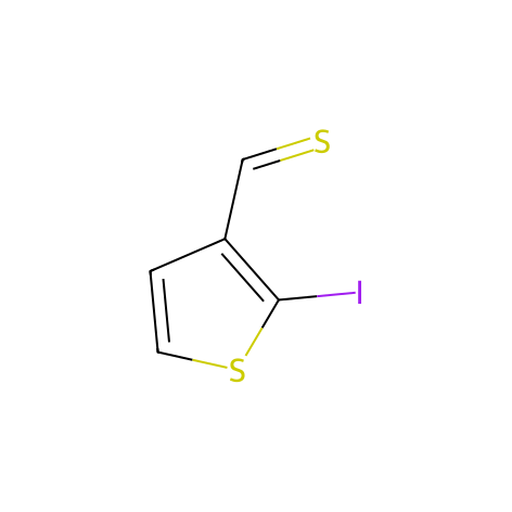 S=Cc1ccsc1I